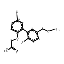 COCc1ccc(F)c(-c2cc(Cl)ccc2OCC(=O)O)c1